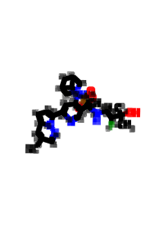 CC(C)(O)C(F)CNC(=O)c1cnc(-c2ccc3cc(C#N)cnn23)cc1NC1C2CC1CN(S(C)(=O)=O)C2